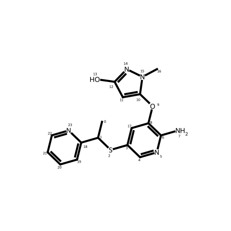 CC(Sc1cnc(N)c(Oc2cc(O)nn2C)c1)c1ccccn1